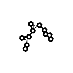 c1cc(-c2ccc3c(ccc4c5ccccc5ccc34)c2)cc(-n2c3ccccc3c3cc(-c4ccc5c(c4)c4ccccc4n5-c4ccc5ccccc5c4)ccc32)c1